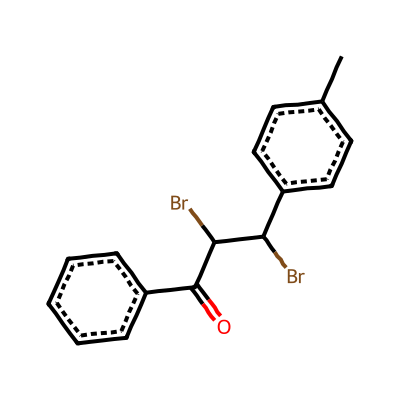 Cc1ccc(C(Br)C(Br)C(=O)c2ccccc2)cc1